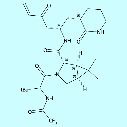 C=CC(=O)C[C@H](C[C@@H]1CCCNC1=O)NC(=O)[C@@H]1[C@@H]2[C@H](CN1C(=O)C(NC(=O)C(F)(F)F)C(C)(C)C)C2(C)C